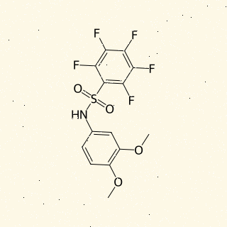 COc1ccc(NS(=O)(=O)c2c(F)c(F)c(F)c(F)c2F)cc1OC